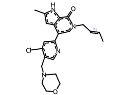 C/C=C/Cn1cc(-c2cc(Cl)c(CN3CCOCC3)cn2)c2cc(C)[nH]c2c1=O